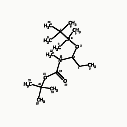 CCC(O[Si](C)(C)C(C)(C)C)N(C)C(=O)OC(C)(C)C